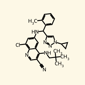 Cc1ccccc1C(Nc1cc(Cl)c2ncc(C#N)c(NCC(C)(C)C)c2c1)c1cn(C2CC2)nn1